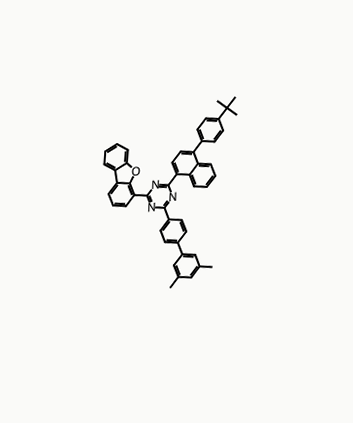 Cc1cc(C)cc(-c2ccc(-c3nc(-c4ccc(-c5ccc(C(C)(C)C)cc5)c5ccccc45)nc(-c4cccc5c4oc4ccccc45)n3)cc2)c1